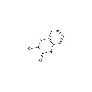 O=C1Nc2ccccc2SC1Cl